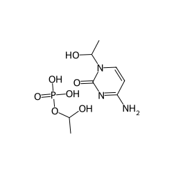 CC(O)OP(=O)(O)O.CC(O)n1ccc(N)nc1=O